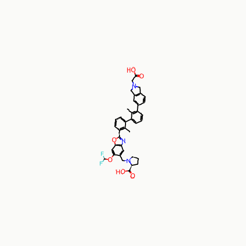 Cc1c(-c2ccc3c(c2)CN(CC(=O)O)C3)cccc1-c1cccc(-c2nc3cc(CN4CCC[C@H]4C(=O)O)c(OC(F)F)cc3o2)c1C